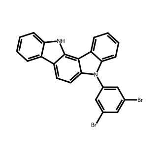 Brc1cc(Br)cc(-n2c3ccccc3c3c4[nH]c5ccccc5c4ccc32)c1